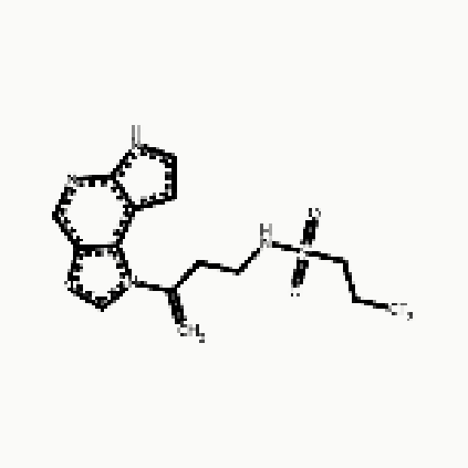 C=C(CCNS(=O)(=O)CCC(F)(F)F)n1cnc2cnc3[nH]ccc3c21